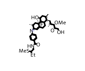 CCC(CNC(=O)c1ccc(/N=C2\C=C3CCC4[C@H](C[C@@H](C)C(OC)C(=O)CO)[C@H](C)C[C@H](O)[C@]4(F)[C@]3(C)C[C@H]2C)cc1)SC